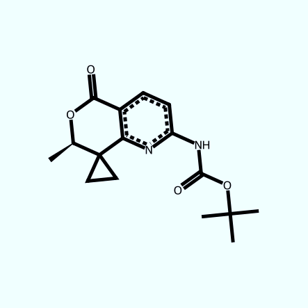 C[C@H]1OC(=O)c2ccc(NC(=O)OC(C)(C)C)nc2C12CC2